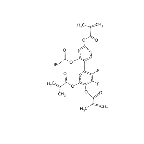 C=C(C)C(=O)Oc1ccc(-c2cc(OC(=O)C(=C)C)c(OC(=O)C(=C)C)c(F)c2F)c(OC(=O)C(C)C)c1